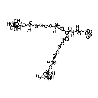 C[C@@H]1O[C@@H](OCCOCCNC(=O)CCOCCOCCOCCOCCNC(=O)COc2ccc(-c3cc(OCC(=O)NCCOCCOCCOCCOCCC(=O)NCCOCCO[C@@H]4O[C@@H](C)[C@H](O)[C@@H](O)[C@H]4O)cc(C(=O)NCCNC(=O)CCCC(=O)ON4C(=O)CCC4=O)c3)cc2)[C@H](O)[C@H](O)[C@H]1O